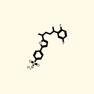 CC(CCC(C)c1cc(F)ccc1F)c1ccc(-c2ccc(S(N)(=O)=O)cc2)o1